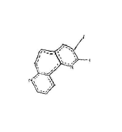 Ic1cc2ccc3ncccc3c2nc1I